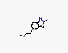 CCCCc1ccc2nc(C)sc2c1